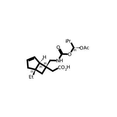 CC[C@@]12CC=C[C@H]1[C@](CNC(=O)O[C@@H](OC(C)=O)C(C)C)(CC(=O)O)C2